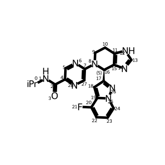 CC(C)NC(=O)c1cnc(N2CCc3[nH]cnc3[C@H]2c2cc3c(F)cccn3n2)cn1